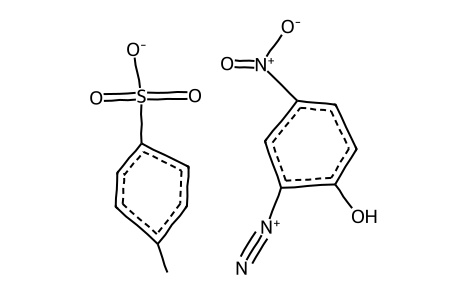 Cc1ccc(S(=O)(=O)[O-])cc1.N#[N+]c1cc([N+](=O)[O-])ccc1O